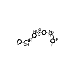 O=S(=O)(Nc1ccc(CCNCC(O)c2cccnc2)cc1)c1ccc(-c2noc(Cc3ccc(F)cc3F)n2)cc1